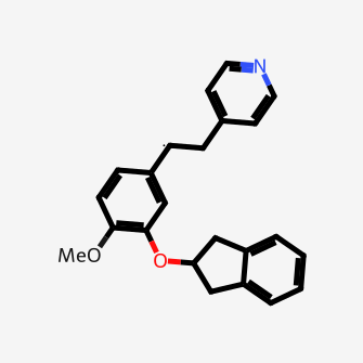 COc1ccc([CH]Cc2ccncc2)cc1OC1Cc2ccccc2C1